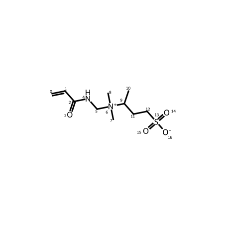 C=CC(=O)NC[N+](C)(C)C(C)CCS(=O)(=O)[O-]